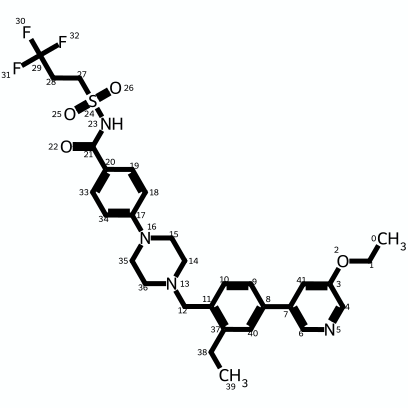 CCOc1cncc(-c2ccc(CN3CCN(c4ccc(C(=O)NS(=O)(=O)CCC(F)(F)F)cc4)CC3)c(CC)c2)c1